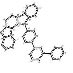 c1ccc(-c2cc(-c3ccc(-n4c5cccnc5c5ccc6sc7ccccc7c6c54)cc3)ccn2)cc1